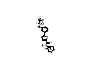 O=C(N[C@H]1CN2CCC1CC2)c1ccc(-c2cccc(NS(=O)(=O)C(F)(F)F)c2)o1